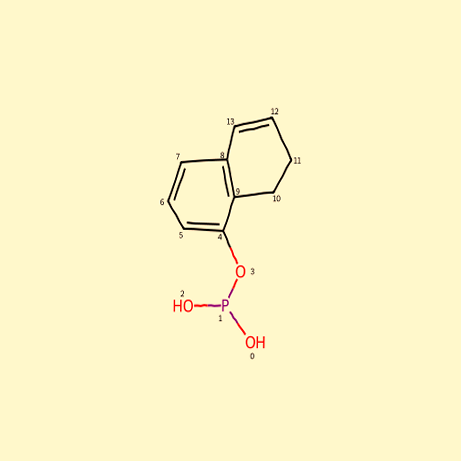 OP(O)Oc1cccc2c1CCC=C2